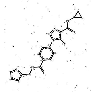 Cc1c(C(=O)NC2CC2)nnn1-c1ccc(C(=O)NCc2ccco2)cc1